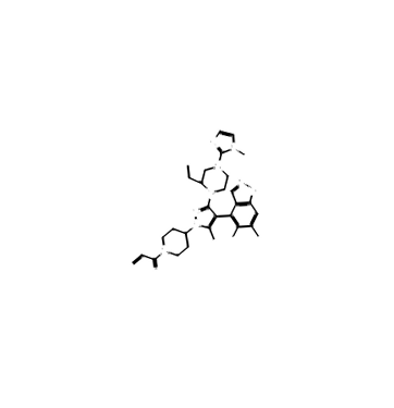 C=CC(=O)N1CCC(n2nc(N3CCN(c4nccn4C)C[C@]3(C)CC)c(-c3c(Cl)c(C)cc4[nH]ncc34)c2C)CC1